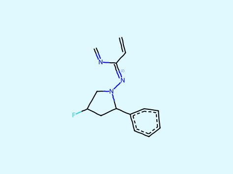 C=C/C(N=C)=N/N1CC(F)CC1c1ccccc1